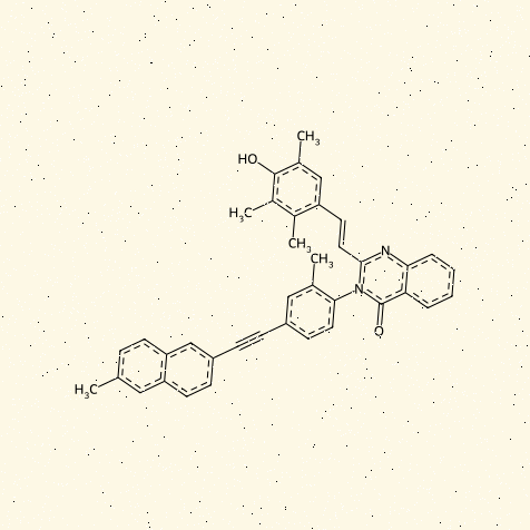 Cc1ccc2cc(C#Cc3ccc(-n4c(/C=C/c5cc(C)c(O)c(C)c5C)nc5ccccc5c4=O)c(C)c3)ccc2c1